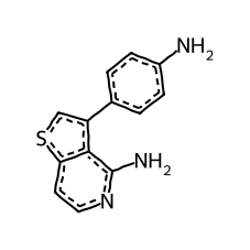 Nc1ccc(-c2csc3ccnc(N)c23)cc1